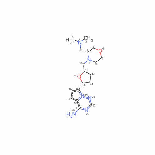 CN(C)C[C@@H]1COCCN1C[C@@H]1CC[C@H](c2ccc3c(N)ncnn23)O1